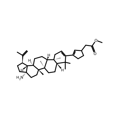 C=C(C)[C@@H]1CC[C@]2(N)CC[C@]3(C)[C@H](CC[C@@H]4[C@@]5(C)CC=C(C6=CC(CC(=O)OC)CC6)C(C)(C)[C@@H]5CC[C@]43C)[C@@H]12